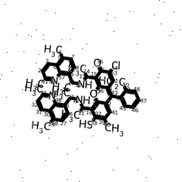 Cc1ccc2c(C)ccc(C(C)NC(C)c3c4oc5c(C(C)NC(C)c6ccc(C)c7ccc(C)nc67)c(S)c(C)cc5c(-c5ccccc5C(=O)O)c-4cc(Cl)c3=O)c2n1